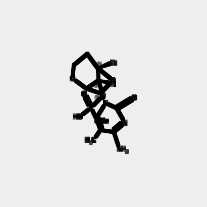 CC[C@]12CCOC([C@H]1OP(=O)(O)OC)[C@@H](n1cc(C)c(N)nc1=O)O2